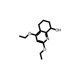 CCOc1cc(OCC)c2c(n1)C(O)CCC2